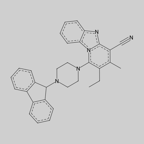 CCc1c(C)c(C#N)c2nc3ccccc3n2c1N1CCN(C2c3ccccc3-c3ccccc32)CC1